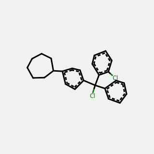 Clc1ccccc1C(Cl)(c1ccccc1)c1ccc(C2CCCCCC2)cc1